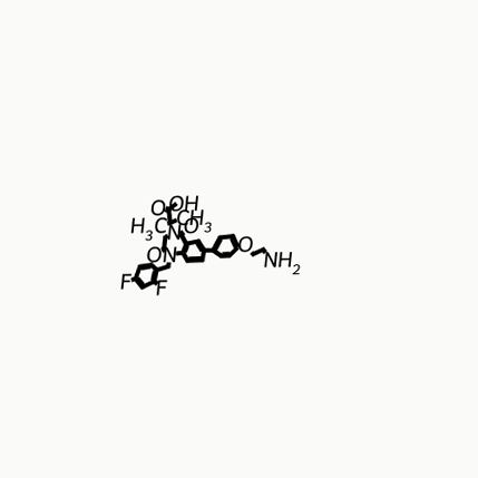 CC(C)(C(=O)O)N1CC(=O)N(Cc2ccc(F)cc2F)c2ccc(-c3ccc(OCCN)cc3)cc2C1=O